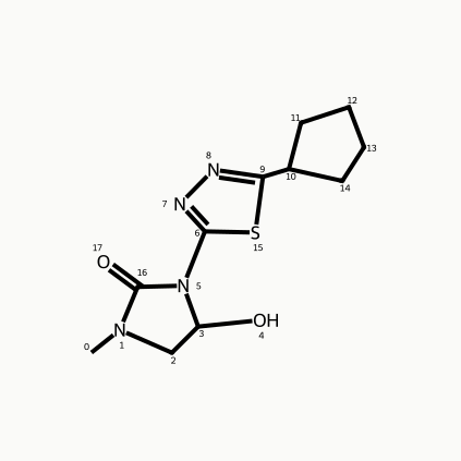 CN1CC(O)N(c2nnc(C3CCCC3)s2)C1=O